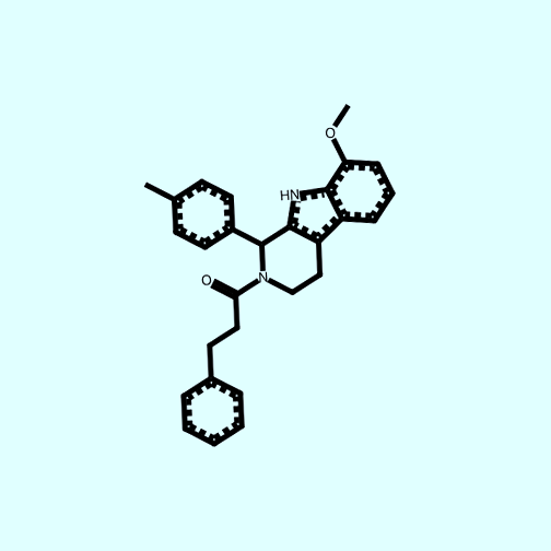 COc1cccc2c3c([nH]c12)C(c1ccc(C)cc1)N(C(=O)CCc1ccccc1)CC3